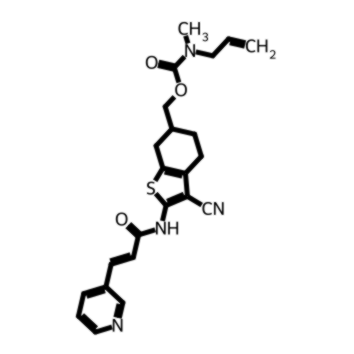 C=CCN(C)C(=O)OCC1CCc2c(sc(NC(=O)C=Cc3cccnc3)c2C#N)C1